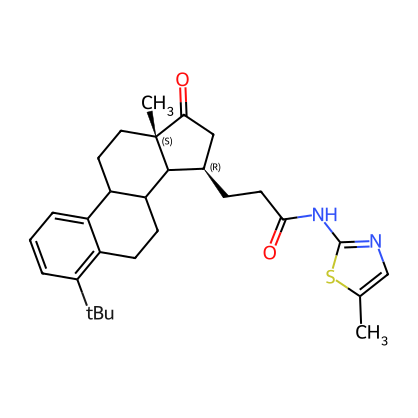 Cc1cnc(NC(=O)CC[C@@H]2CC(=O)[C@@]3(C)CCC4c5cccc(C(C)(C)C)c5CCC4C23)s1